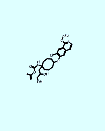 C=C(C)OC(=O)NC1(CC(O)CO)CCCC(Oc2cc3ccnc(OCCCC)c3cc2Cl)CCC1